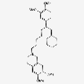 COc1ccc(C(CCCCCN2CCc3cc(OC)c(OC)cc3C2)SC2CCCCC2)cc1OC